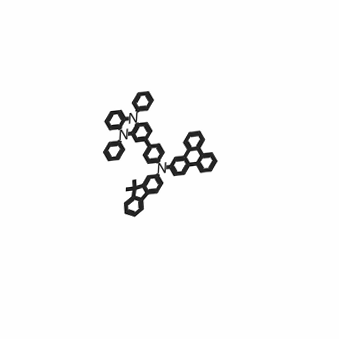 CC1(C)c2ccccc2-c2ccc(N(c3ccc(-c4ccc5c(c4)N(c4ccccc4)c4ccccc4N5c4ccccc4)cc3)c3ccc4c5ccccc5c5ccccc5c4c3)cc21